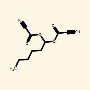 C#CC(=O)OC(CCCCC)OC(=O)C#C